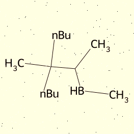 CBC(C)C(C)(CCCC)CCCC